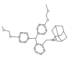 COCOc1ccc(C(c2ccc(OCOC)cc2)c2ccccc2CNC23CC4CC(CC(C4)C2)C3)cc1